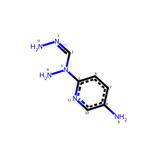 N/N=C\N(N)c1ccc(N)cn1